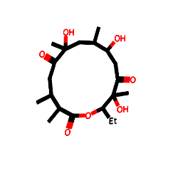 CCC1OC(=O)C(C)C(C)CC(=O)C(C)(O)CC(C)C(O)CC(=O)C1(C)O